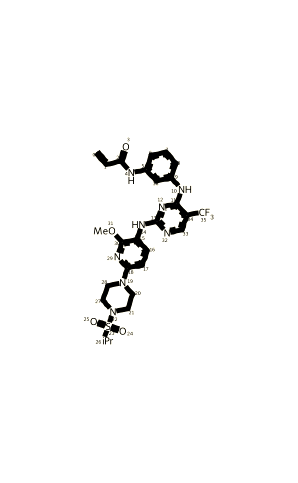 C=CC(=O)Nc1cccc(Nc2nc(Nc3ccc(N4CCN(S(=O)(=O)C(C)C)CC4)nc3OC)ncc2C(F)(F)F)c1